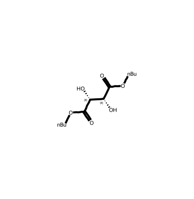 CCCCOC(=O)[C@H](O)[C@@H](O)C(=O)OCCCC